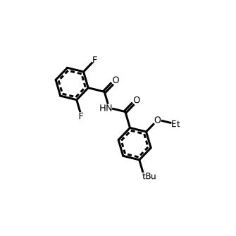 CCOc1cc(C(C)(C)C)ccc1C(=O)NC(=O)c1c(F)cccc1F